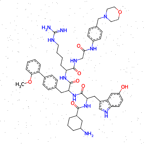 COc1ccccc1-c1ccc(CC(NC(=O)C(Cc2c[nH]c3ccc(O)cc23)NC(=O)C2CCCC(N)C2)C(=O)NC(CCCCNC(=N)N)C(=O)NCC(=O)Nc2ccc(CN3CCOCC3)cc2)cc1